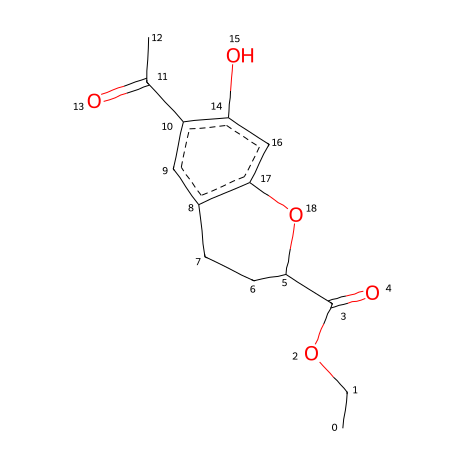 CCOC(=O)C1CCc2cc(C(C)=O)c(O)cc2O1